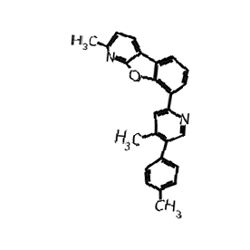 Cc1ccc(-c2cnc(-c3cccc4c3oc3nc(C)ccc34)cc2C)cc1